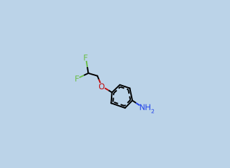 Nc1ccc(OCC(F)F)cc1